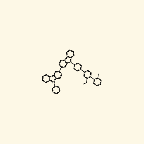 CCc1cc(-c2ccc(-n3c4ccccc4c4ccc(-c5ccc6c(c5)c5ccccc5n6-c5ccccc5)cc43)cc2)ccc1-c1ccccc1C